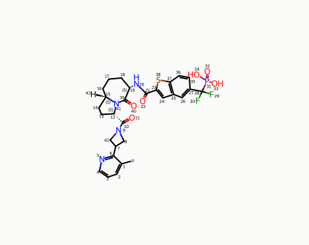 Cc1cccnc1C1CN(C(=O)[C@@H]2CC[C@@H]3CCC[C@H](NC(=O)c4cc5cc(C(F)(F)P(=O)(O)O)ccc5s4)C(=O)N32)C1